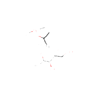 CC(=O)O.CC(O)C(=O)O.CCO.O=C[C@@H](O)[C@H](O)[C@H](O)CO